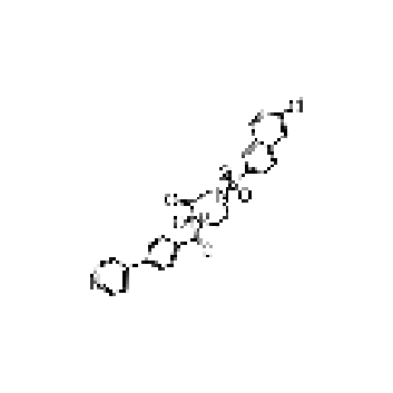 O=C1CN(S(=O)(=O)c2ccc3cc(Cl)ccc3c2)CC[N+]1([O-])C(=O)c1ccc(-c2ccncc2)cc1